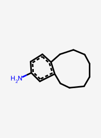 Nc1ccc2c(c1)CCCCCCCC2